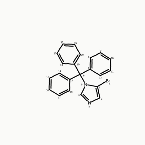 Brc1cncn1C(c1ccccc1)(c1ccccc1)c1ccccc1